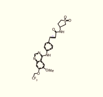 COc1cc2c(Nc3ccc(/C=C/C(=O)NC4CCS(=O)(=O)C4)cc3)ncnc2cc1OCC(F)(F)F